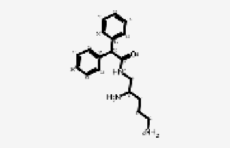 NCCCC(N)CNC(=O)C(c1ccccc1)c1ccccc1